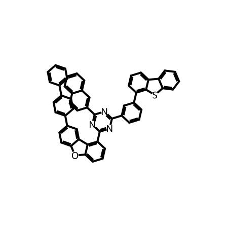 c1ccc(-c2ccc(-c3ccc4oc5cccc(-c6nc(-c7cccc(-c8cccc9c8sc8ccccc89)c7)nc(-c7ccc8ccccc8c7)n6)c5c4c3)cc2)cc1